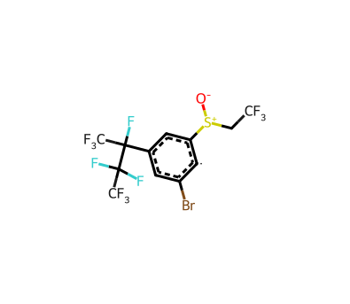 [O-][S+](CC(F)(F)F)c1[c]c(Br)cc(C(F)(C(F)(F)F)C(F)(F)C(F)(F)F)c1